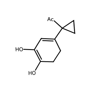 CC(=O)C1(C2=CC(O)=C(O)CC2)CC1